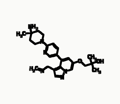 C=NCc1cnn2cc(OCC(C)(C)O)cc(-c3ccc(N4CCC(C)(N)CC4)nc3)c12